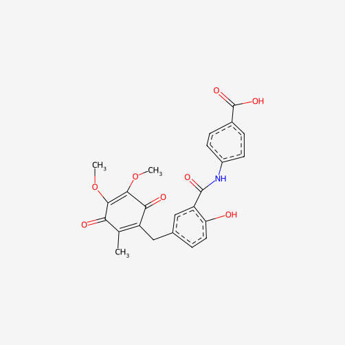 COC1=C(OC)C(=O)C(Cc2ccc(O)c(C(=O)Nc3ccc(C(=O)O)cc3)c2)=C(C)C1=O